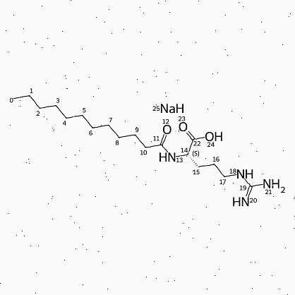 CCCCCCCCCCCC(=O)N[C@@H](CCCNC(=N)N)C(=O)O.[NaH]